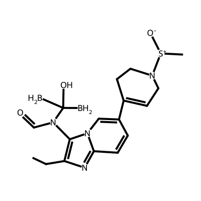 BC(B)(O)N(C=O)c1c(CC)nc2ccc(C3=CCN([S+](C)[O-])CC3)cn12